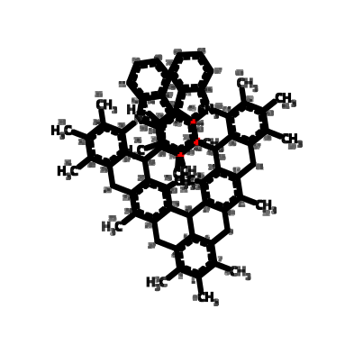 Cc1c(C)c2c3c(c1C)Cc1c(C)c4c(c(C)c1C3c1c(C)c3c(c(C)c1C2)Cc1c(C)c(C)c(C)c2c1C3c1c(C)c(C)c(C)c3c5ccccc5n-2c13)C1c2c(c(C)c(C)c(C)c2-n2c3ccccc3c3c(C)c(C)c(C)c1c32)C4